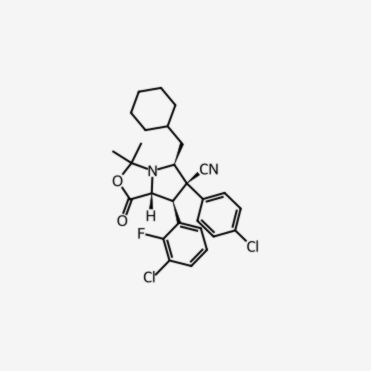 CC1(C)OC(=O)[C@H]2[C@H](c3cccc(Cl)c3F)[C@@](C#N)(c3ccc(Cl)cc3)[C@H](CC3CCCCC3)N21